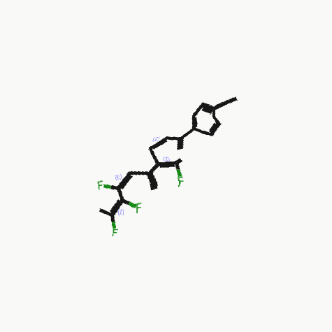 C=C(/C=C(F)\C(F)=C(/C)F)C(/C=C\C(=C)c1ccc(C)cc1)=C(/C)F